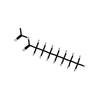 CC(=O)OC(=O)C(F)(F)C(F)(F)C(F)(F)C(F)(F)C(F)(F)C(F)(F)C(F)(F)F